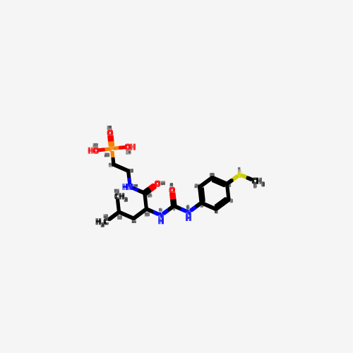 CSc1ccc(NC(=O)NC(CC(C)C)C(=O)NCCP(=O)(O)O)cc1